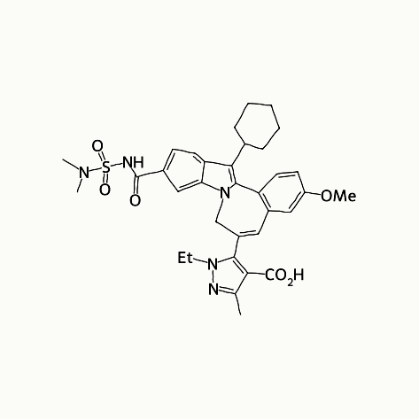 CCn1nc(C)c(C(=O)O)c1C1=Cc2cc(OC)ccc2-c2c(C3CCCCC3)c3ccc(C(=O)NS(=O)(=O)N(C)C)cc3n2C1